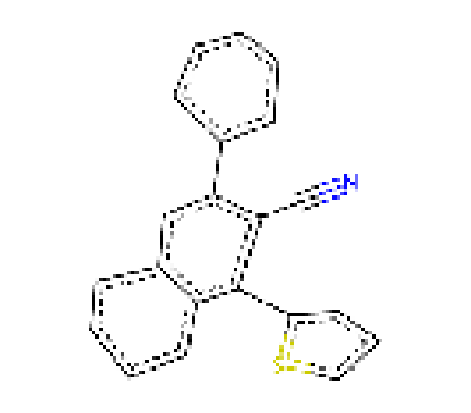 N#Cc1c(-c2ccccc2)cc2ccccc2c1-c1cccs1